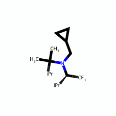 CC(C)[C@@H](N(CC1CC1)C(C)(C)C(C)C)C(F)(F)F